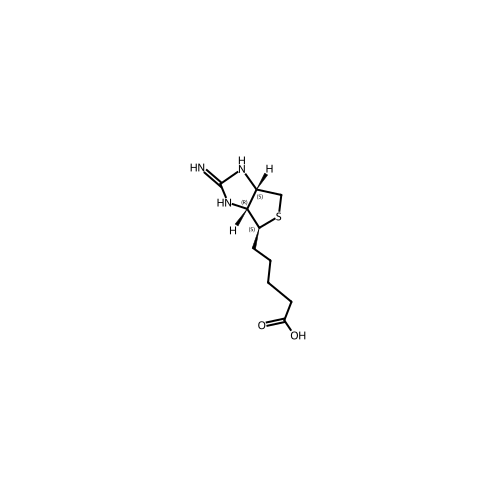 N=C1N[C@H]2[C@H](CCCCC(=O)O)SC[C@H]2N1